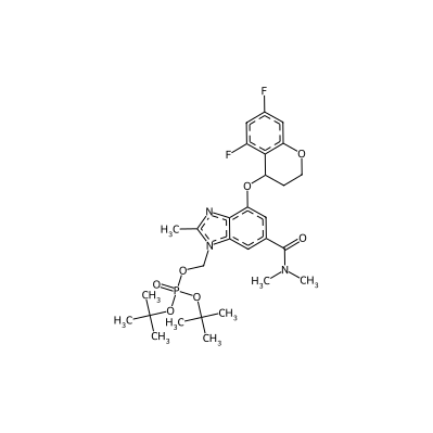 Cc1nc2c(OC3CCOc4cc(F)cc(F)c43)cc(C(=O)N(C)C)cc2n1COP(=O)(OC(C)(C)C)OC(C)(C)C